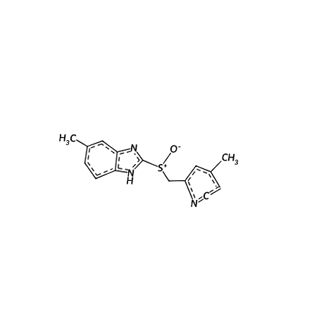 Cc1ccnc(C[S+]([O-])c2nc3cc(C)ccc3[nH]2)c1